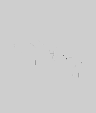 C=C[C@@]1(C)CC=C2[C@@H](CC[C@@H]3[C@](C)(C(=O)NCC(=O)O)CCC[C@@]23C)C1